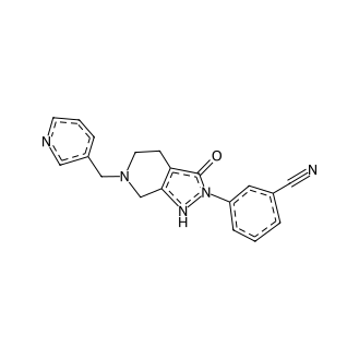 N#Cc1cccc(-n2[nH]c3c(c2=O)CCN(Cc2cccnc2)C3)c1